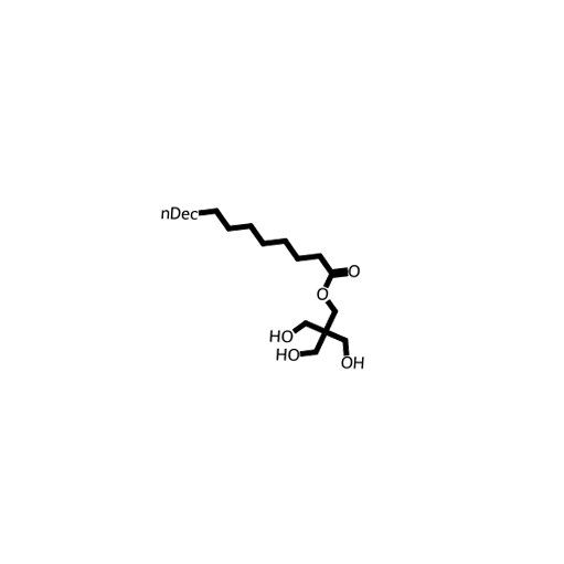 CCCCCCCCCCCCCCCCCC(=O)OCC(CO)(CO)CO